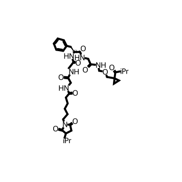 CC(C)C(=O)C1(COCNC(=O)CNC(=O)[C@H](Cc2ccccc2)NC(=O)CNC(=O)CNC(=O)CCCCCN2C(=O)CC(C(C)C)C2=O)CC1